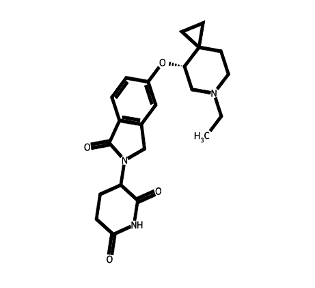 CCN1CCC2(CC2)[C@@H](Oc2ccc3c(c2)CN(C2CCC(=O)NC2=O)C3=O)C1